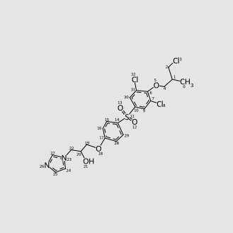 CC(CCl)COc1c(Cl)cc(S(=O)(=O)c2ccc(OCC(O)Cn3ccnc3)cc2)cc1Cl